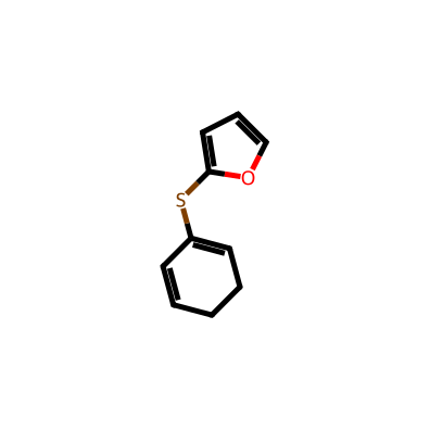 C1=CC(Sc2ccco2)=CCC1